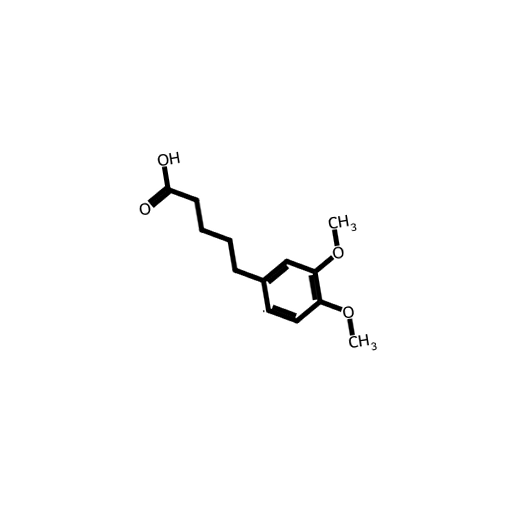 COc1c[c]c(CCCCC(=O)O)cc1OC